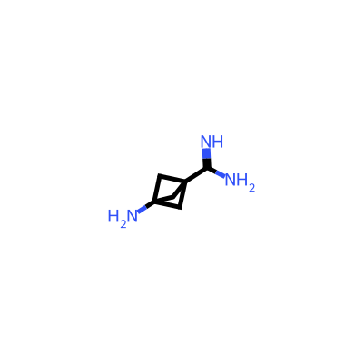 N=C(N)C12CC(N)(C1)C2